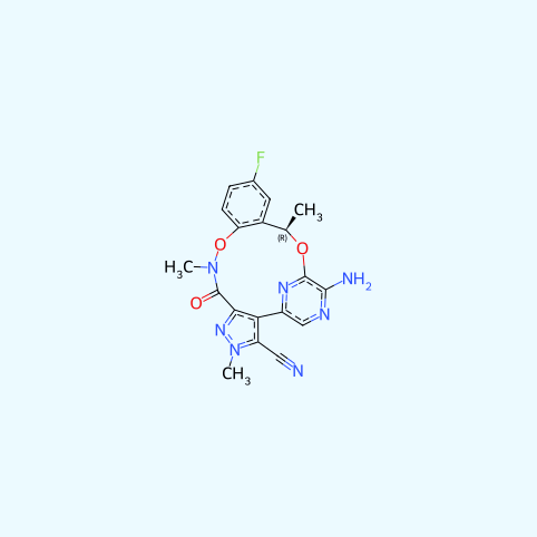 C[C@H]1Oc2nc(cnc2N)-c2c(nn(C)c2C#N)C(=O)N(C)Oc2ccc(F)cc21